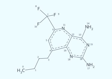 CCCCc1cc(C(F)(F)F)nc2c(N)nc(N)nc12